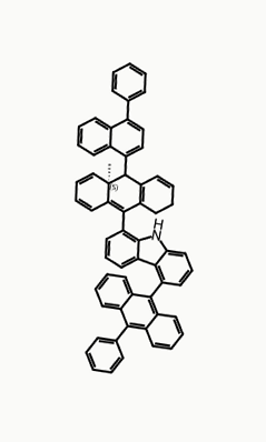 C[C@@]12C=CC=CC1=C(c1cccc3c1[nH]c1cccc(-c4c5ccccc5c(-c5ccccc5)c5ccccc45)c13)C1=C(C=CCC1)C2c1ccc(-c2ccccc2)c2ccccc12